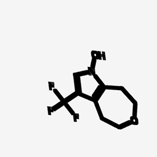 On1cc(C(F)(F)F)c2c1CCOCC2